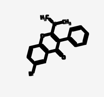 CN(C)c1oc2ccc(Br)cc2c(=O)c1-c1ccccc1